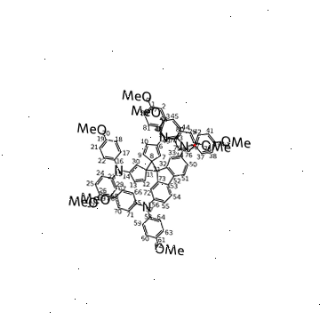 COc1ccc(N(C2=CC3(C=C2)C2(C=CC(N(c4ccc(OC)cc4)c4ccc(OC)cc4)=C2)C32c3cc(N(c4ccc(OC)cc4)c4ccc(OC)cc4)ccc3-c3ccc(N(c4ccc(OC)cc4)c4ccc(OC)cc4)cc32)c2ccc(OC)cc2)cc1